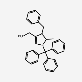 CC1N(Cc2ccccc2)C(CC(=O)O)=CN1C(c1ccccc1)(c1ccccc1)c1ccccc1